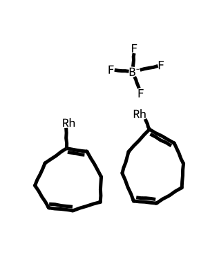 F[B-](F)(F)F.[Rh][C]1=CCCC=CCC1.[Rh][C]1=CCCC=CCC1